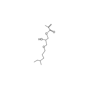 C=C(C)C(=O)OCC(O)COCCCC(C)CC